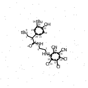 CC(C)(C)CC(C(=O)NCCNc1c(Cl)c(Cl)c(Cl)c(C#N)c1C#N)c1ccc(O)c(C(C)(C)C)c1